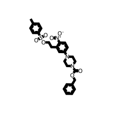 Cc1ccc(S(=O)(=O)OCCc2cc(N3CCN(C(=O)OCc4ccccc4)CC3)ccc2[N+](=O)[O-])cc1